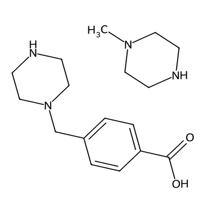 CN1CCNCC1.O=C(O)c1ccc(CN2CCNCC2)cc1